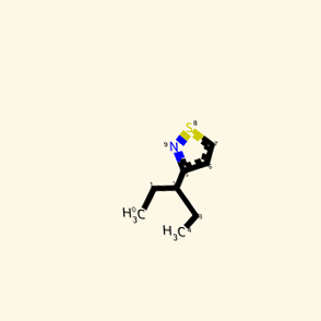 CCC(CC)c1ccsn1